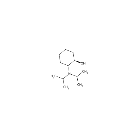 CC(C)N(C(C)C)[C@@H]1CCCC[C@H]1O